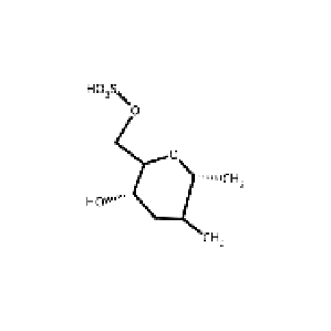 CC1C[C@H](O)C(COS(=O)(=O)O)O[C@@H]1C